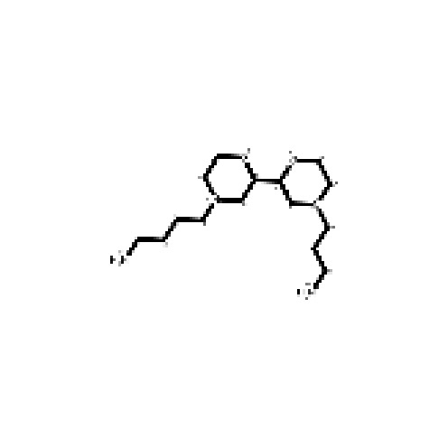 NCCCCN1CCOC(C2CN(CCCN)CCO2)C1